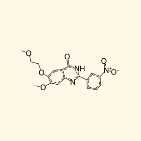 COCCOc1cc2c(=O)[nH]c(-c3cccc([N+](=O)[O-])c3)nc2cc1OC